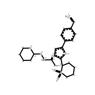 C=Cc1ccc(-c2ccc([C@@]3(CC(=O)NOC4CCCCO4)CCCCS3(=O)=O)s2)cc1